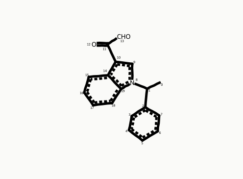 CC(c1ccccc1)n1cc(C(=O)C=O)c2ccccc21